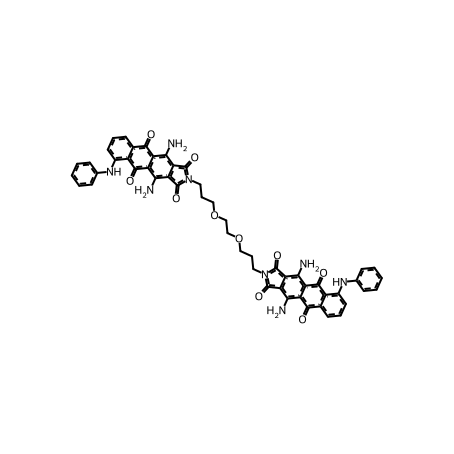 Nc1c2c(=O)c3cccc(Nc4ccccc4)c3c(=O)c2c(N)c2c(=O)n(CCCOCCOCCCn3c(=O)c4c(N)c5c(=O)c6cccc(Nc7ccccc7)c6c(=O)c5c(N)c4c3=O)c(=O)c12